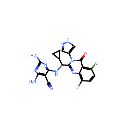 N#Cc1c(N)nc(N)nc1N[C@H](c1nc2c(Cl)ccc(Cl)c2c(=O)n1-c1cn[nH]c1)C1CC1